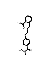 CN(O)C(=O)c1ccc(CCCCc2ccccc2C(=O)O)cc1